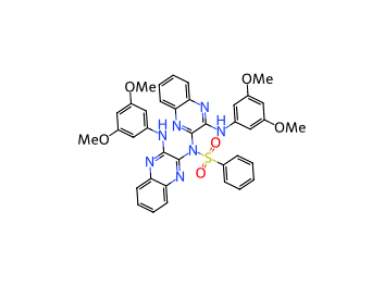 COc1cc(Nc2nc3ccccc3nc2N(c2nc3ccccc3nc2Nc2cc(OC)cc(OC)c2)S(=O)(=O)c2ccccc2)cc(OC)c1